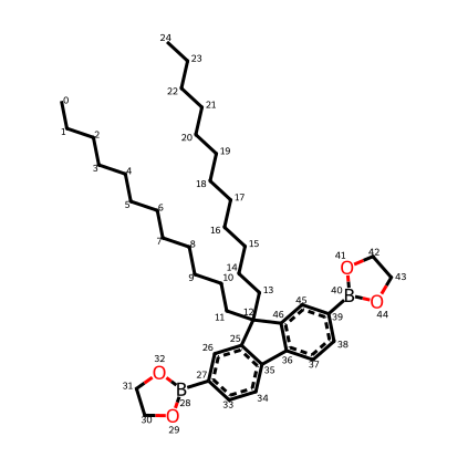 CCCCCCCCCCCCC1(CCCCCCCCCCCC)c2cc(B3OCCO3)ccc2-c2ccc(B3OCCO3)cc21